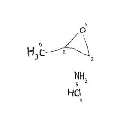 CC1CO1.Cl.N